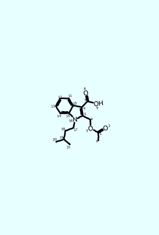 CC(=O)OCc1c(C(=O)O)c2ccccc2n1CCC(C)C